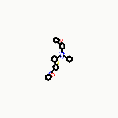 c1ccc(-c2nc(-c3ccc4oc5ccccc5c4c3)nc(-c3cccc4c3sc3ccc(-c5nc6ccccc6o5)cc34)n2)cc1